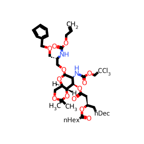 C=CCOC(=O)N[C@@H](COCc1ccccc1)COC1O[C@@H]2COC(C)(C)O[C@H]2[C@H](OC(=O)C[C@@H](CCCCCCCCCCC)OC(=O)CCCCCC)[C@H]1NC(=O)OCC(Cl)(Cl)Cl